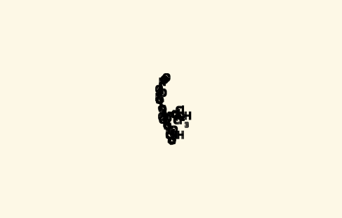 O=C(CN1CCC(C2CCN(C(=O)[C@@H](Cc3cc(Cl)c(O)c(C(F)(F)F)c3)OC(=O)N3CCC(N4CCc5ccccc5NC4=O)CC3)CC2)CC1)OCCN1CCOCC1